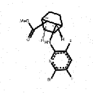 COC(=O)[C@H]1C2CCC(CC2)[C@@H]1Nc1nc(Br)c(F)cc1F